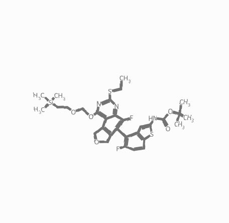 CCSc1nc(OCOCC[Si](C)(C)C)c2c3c(c(-c4c(F)ccc5sc(NC(=O)OC(C)(C)C)cc45)c(F)c2n1)COC3